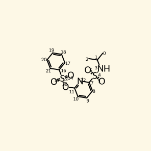 CC(C)NS(=O)(=O)c1cccc(OS(=O)(=O)c2ccccc2)n1